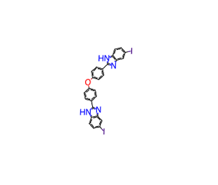 Ic1ccc2[nH]c(-c3ccc(Oc4ccc(-c5nc6cc(I)ccc6[nH]5)cc4)cc3)nc2c1